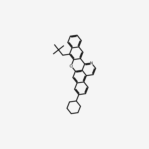 CC(C)(C)Cc1c2c(cc3ccccc13)-c1nccc3c1c(cc1cc(C4CCCCC4)ccc13)O2